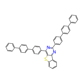 c1ccc(-c2ccc(-c3ccc(-c4nc(-c5ccc(-c6ccc(-c7ccccc7)cc6)cc5)c5sc6ccccc6c5n4)cc3)cc2)cc1